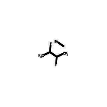 CCC.FC(C(F)C(F)(F)F)C(F)(F)F